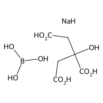 O=C(O)CC(O)(CC(=O)O)C(=O)O.OB(O)O.[NaH]